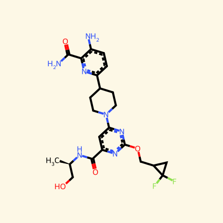 C[C@H](CO)NC(=O)c1cc(N2CCC(c3ccc(N)c(C(N)=O)n3)CC2)nc(OCC2CC2(F)F)n1